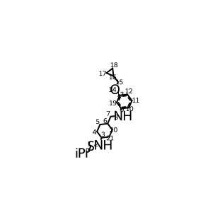 CC(C)SNC1CCC(CNc2cccc(OCC3CC3)c2)CC1